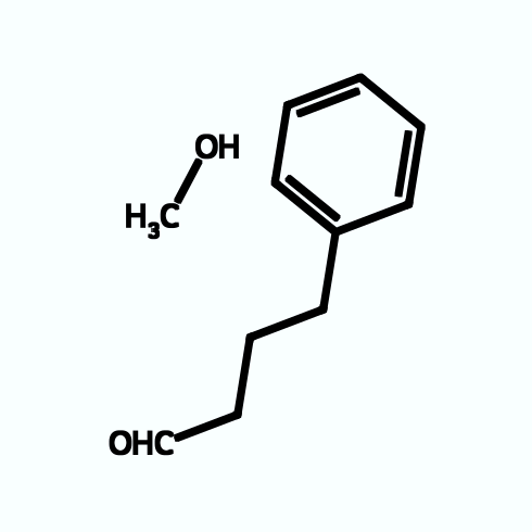 CO.O=CCCCc1ccccc1